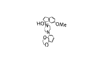 COc1ccc2c(c1)C(O)(N1CCN(c3cccc4c3OCCO4)CC1)CC2